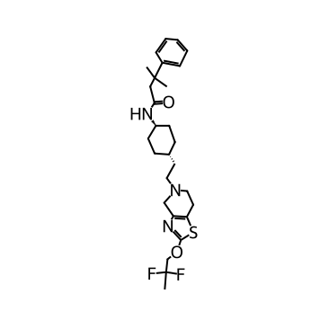 CC(F)(F)COc1nc2c(s1)CCN(CC[C@H]1CC[C@H](NC(=O)CC(C)(C)c3ccccc3)CC1)C2